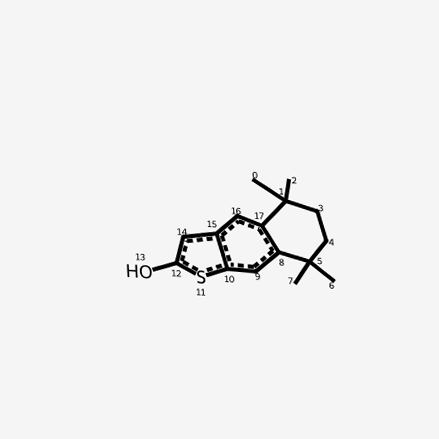 CC1(C)CCC(C)(C)c2cc3sc(O)cc3cc21